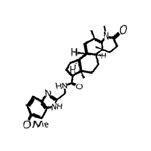 COc1ccc2nc(CNC(=O)C3CC[C@H]4[C@@H]5CC(C)=C6N(C)C(=O)CC[C@]6(C)[C@@H]5CC[C@]34C)[nH]c2c1